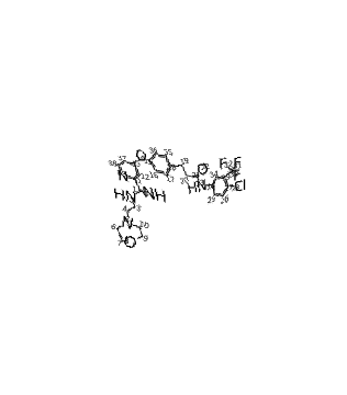 N=C(NCCN1CCOCC1)c1cc(Oc2ccc(CCC(=O)Nc3ccc(Cl)c(C(F)(F)F)c3)cc2)ccn1